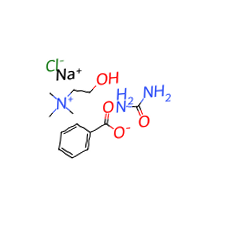 C[N+](C)(C)CCO.NC(N)=O.O=C([O-])c1ccccc1.[Cl-].[Na+]